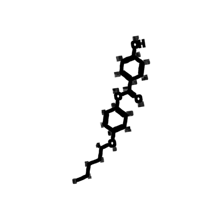 CCCCCOc1ccc(OC(=O)c2ccc(O)cc2)cc1